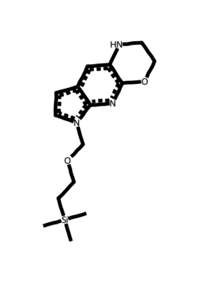 C[Si](C)(C)CCOCn1ccc2cc3c(nc21)OCCN3